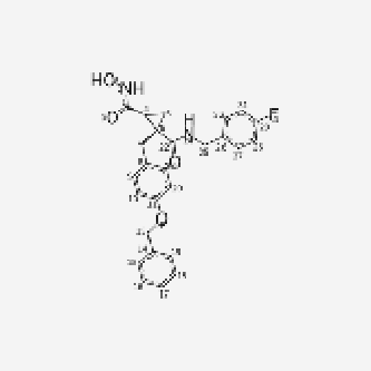 O=C(NO)[C@H]1C[C@]1(Cc1ccc(OCc2ccccc2)cc1)C(=O)NCc1ccc(F)cc1